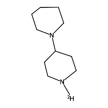 [2H]N1CCC(N2CCCCC2)CC1